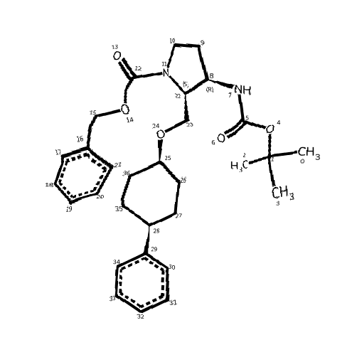 CC(C)(C)OC(=O)N[C@@H]1CCN(C(=O)OCc2ccccc2)[C@@H]1CO[C@H]1CC[C@@H](c2ccccc2)CC1